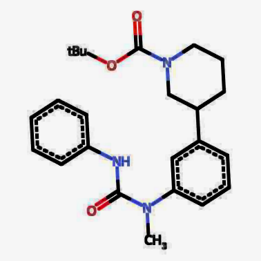 CN(C(=O)Nc1ccccc1)c1cccc(C2CCCN(C(=O)OC(C)(C)C)C2)c1